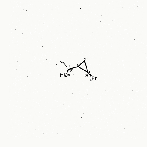 CC[C@@H]1CC1[C@@H](C)O